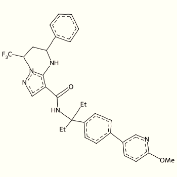 CCC(CC)(NC(=O)c1cnn2c1NC(c1ccccc1)CC2C(F)(F)F)c1ccc(-c2ccc(OC)nc2)cc1